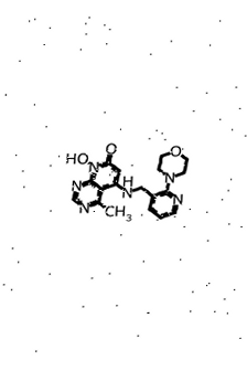 Cc1ncnc2c1c(NCc1cccnc1N1CCOCC1)cc(=O)n2O